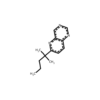 CCCC(C)(C)c1ccc2ncncc2n1